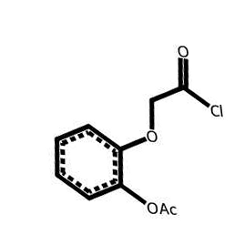 CC(=O)Oc1ccccc1OCC(=O)Cl